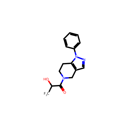 O=C(C(O)C(F)(F)F)N1CCc2c(cnn2-c2ccccc2)C1